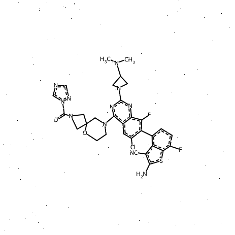 CN(C)C1CN(c2nc(N3CCOC4(CN(C(=O)n5cncn5)C4)C3)c3cc(Cl)c(-c4ccc(F)c5sc(N)c(C#N)c45)c(F)c3n2)C1